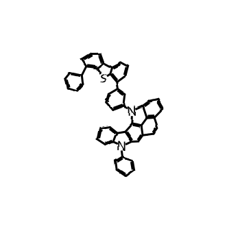 c1ccc(-c2cccc3c2sc2c(-c4cccc(-n5c6cccc7ccc8cc9c(c%10ccccc%10n9-c9ccccc9)c5c8c76)c4)cccc23)cc1